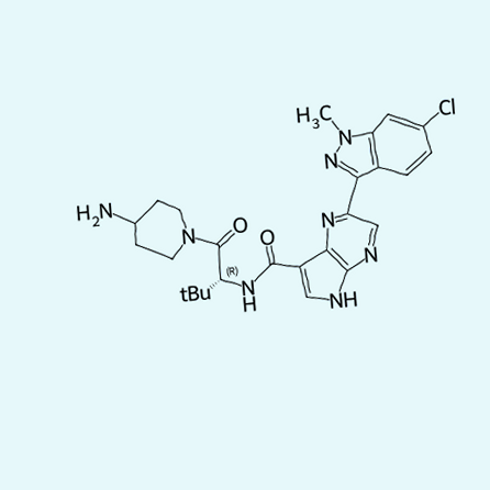 Cn1nc(-c2cnc3[nH]cc(C(=O)N[C@@H](C(=O)N4CCC(N)CC4)C(C)(C)C)c3n2)c2ccc(Cl)cc21